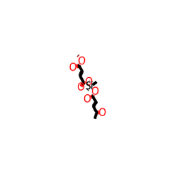 COC(=O)/C=C/C(=O)O[Si](C)(C)OC(=O)/C=C/C(C)=O